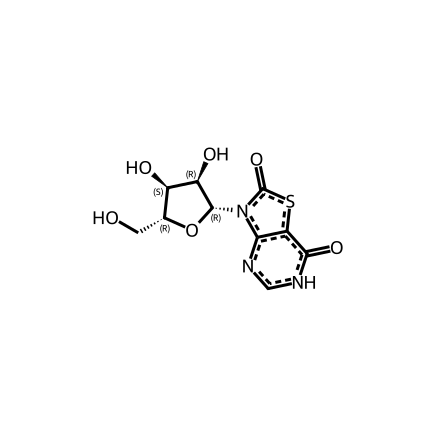 O=c1[nH]cnc2c1sc(=O)n2[C@@H]1O[C@H](CO)[C@@H](O)[C@H]1O